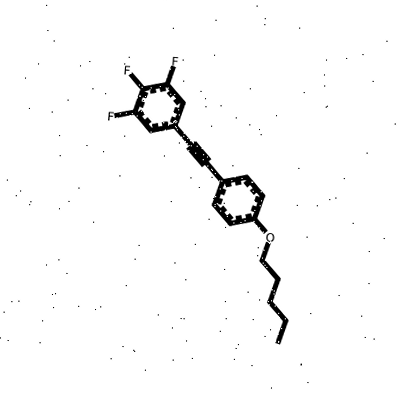 CCCCCOc1ccc(C#Cc2cc(F)c(F)c(F)c2)cc1